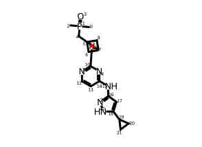 CP(C)(=O)CC12CC(C1)N(c1nccc(Nc3cc(C4CC4)[nH]n3)n1)C2